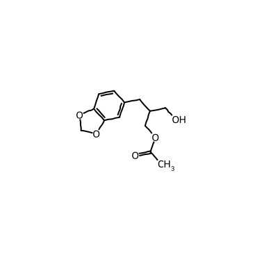 CC(=O)OCC(CO)Cc1ccc2c(c1)OCO2